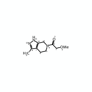 COCC(=O)N1CCc2c(C)n[nH]c2C1